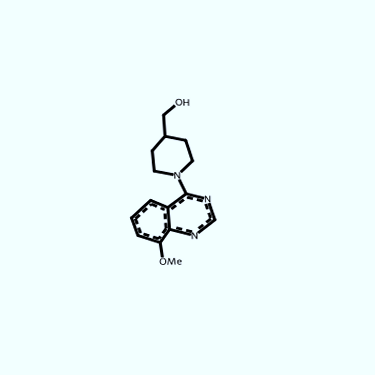 COc1cccc2c(N3CCC(CO)CC3)ncnc12